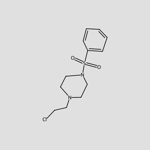 O=S(=O)(c1ccccc1)N1CCN(CCCl)CC1